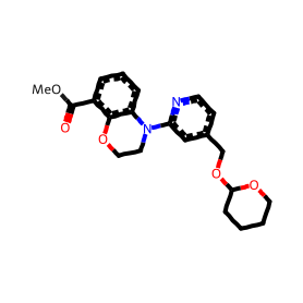 COC(=O)c1cccc2c1OCCN2c1cc(COC2CCCCO2)ccn1